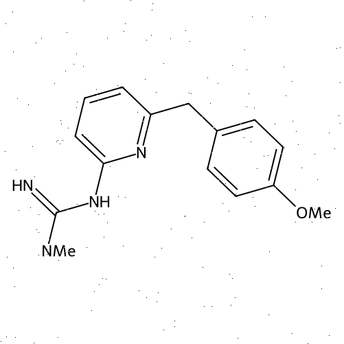 CNC(=N)Nc1cccc(Cc2ccc(OC)cc2)n1